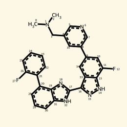 CN(C)Cc1cncc(-c2cc(F)c3[nH]nc(-c4nc5c(-c6ccccc6F)cccc5[nH]4)c3c2)c1